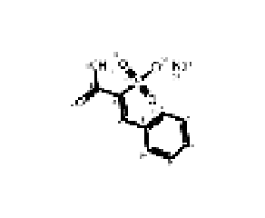 CC(=O)C(=Cc1ccccc1)S(=O)(=O)[O-].[Na+]